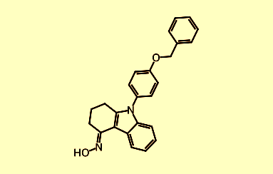 ON=C1CCCc2c1c1ccccc1n2-c1ccc(OCc2ccccc2)cc1